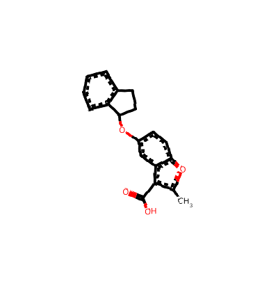 Cc1oc2ccc(OC3CCc4ccccc43)cc2c1C(=O)O